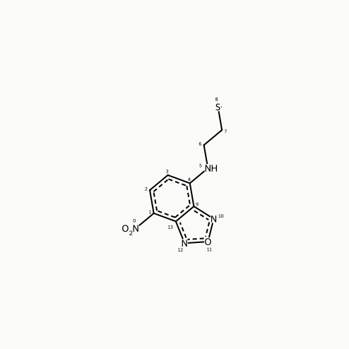 O=[N+]([O-])c1ccc(NCC[S])c2nonc12